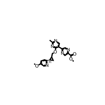 COC(=O)c1cnc(-c2cnc(C)nc2OCC2C[C@H]2c2ccc(OC)cn2)cn1